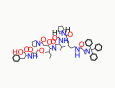 CCC(C)C(C(CC(=O)N1CCC[C@H]1C(OC)C(C)C(=O)NC(Cc1ccccc1)C(=O)O)OC)N(C)C(=O)C(NC(=O)[C@@H]1[C@H]2CC[C@H](C2)N1C(=O)CCCCCNC(=O)C1C[N@]1C(c1ccccc1)(c1ccccc1)c1ccccc1)C(C)C